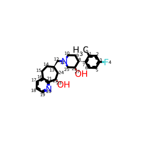 Cc1cc(F)ccc1[C@H]1CCN(C[C@@H]2CCc3cccnc3[C@@H](O)C2)C[C@@H]1O